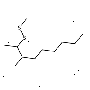 CCCCCCC(C)C(C)SSC